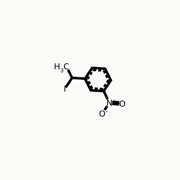 CC(I)c1cccc([N+](=O)[O-])c1